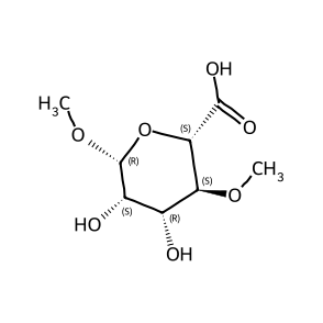 CO[C@@H]1O[C@H](C(=O)O)[C@@H](OC)[C@H](O)[C@@H]1O